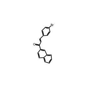 O=C(/C=C/c1ccc(Br)cc1)c1ccc2ccccc2c1